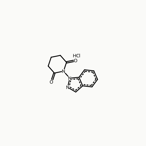 Cl.O=C1CCCC(=O)N1n1ncc2ccccc21